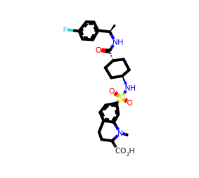 C[C@@H](NC(=O)[C@H]1CC[C@H](NS(=O)(=O)c2ccc3c(c2)N(C)C(C(=O)O)CC3)CC1)c1ccc(F)cc1